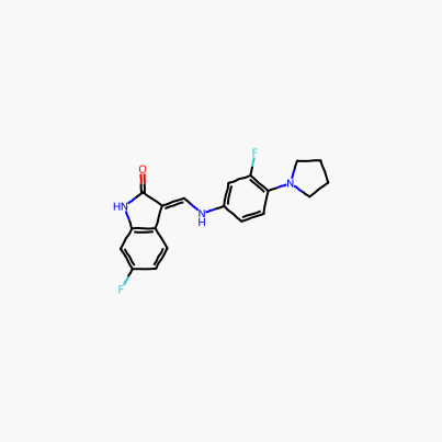 O=C1Nc2cc(F)ccc2/C1=C\Nc1ccc(N2CCCC2)c(F)c1